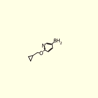 Bc1ccc(OCC2CC2)nc1